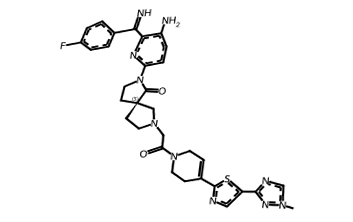 Cn1cnc(-c2cnc(C3=CCN(C(=O)CN4CC[C@]5(CCN(c6ccc(N)c(C(=N)c7ccc(F)cc7)n6)C5=O)C4)CC3)s2)n1